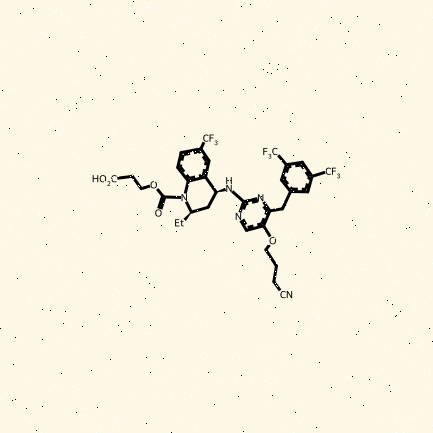 CC[C@@H]1C[C@H](Nc2ncc(OCCCC#N)c(Cc3cc(C(F)(F)F)cc(C(F)(F)F)c3)n2)c2cc(C(F)(F)F)ccc2N1C(=O)OCCC(=O)O